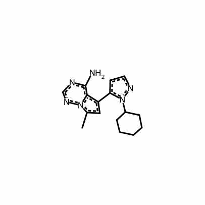 Cc1cc(-c2ccnn2C2CCCCC2)c2c(N)ncnn12